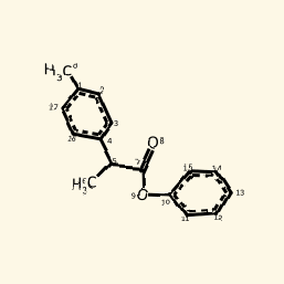 Cc1ccc(C(C)C(=O)Oc2ccccc2)cc1